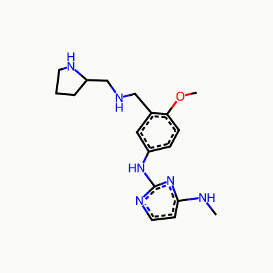 CNc1ccnc(Nc2ccc(OC)c(CNCC3CCCN3)c2)n1